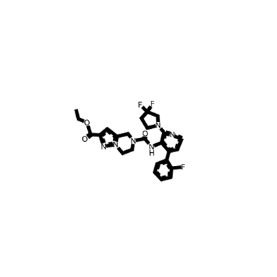 CCOC(=O)c1cc2n(n1)CCN(C(=O)Nc1c(-c3ccccc3F)ccnc1N1CCC(F)(F)C1)C2